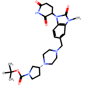 Cn1c(=O)n(C2CCC(=O)NC2=O)c2ccc(CN3CCN([C@@H]4CCN(C(=O)OC(C)(C)C)C4)CC3)cc21